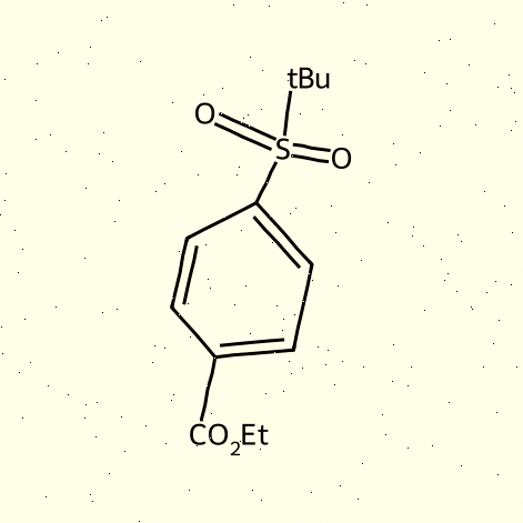 CCOC(=O)c1ccc(S(=O)(=O)C(C)(C)C)cc1